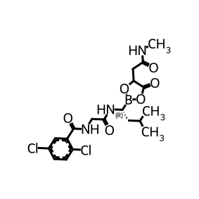 CNC(=O)CC1OB([C@H](CC(C)C)NC(=O)CNC(=O)c2cc(Cl)ccc2Cl)OC1=O